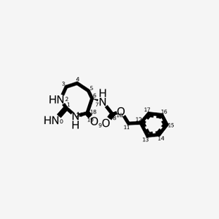 N=C1NCCC[C@H](NC(=O)OCc2ccccc2)C(=O)N1